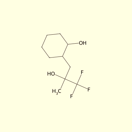 CC(O)(CC1CCCCC1O)C(F)(F)F